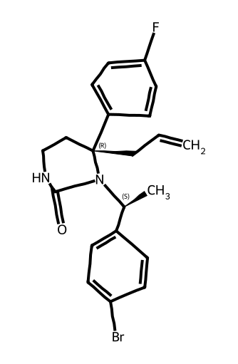 C=CC[C@]1(c2ccc(F)cc2)CCNC(=O)N1[C@@H](C)c1ccc(Br)cc1